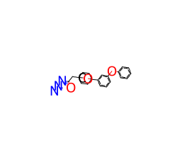 [N-]=[N+]=NC(=O)CC12CCC(c3cccc(Oc4ccccc4)c3)(CC1)OC2